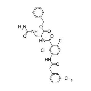 Cc1cccc(CC(=O)Nc2ccc(Cl)c(C(=O)N[C@@H](CNC(N)=O)C(=O)OCc3ccccc3)c2Cl)c1